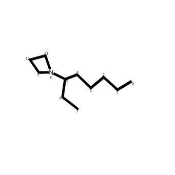 CCCCCC(CC)N1CCC1